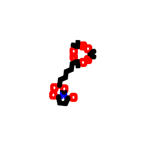 CC1(C)OOC(C)(C)OOC(C)(CCCCCC(=O)ON2C(=O)CCC2=O)OO1